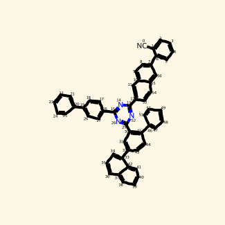 N#Cc1ccccc1-c1ccc2cc(-c3nc(-c4ccc(-c5ccccc5)cc4)nc(-c4cc(-c5cccc6ccccc56)ccc4-c4ccccc4)n3)ccc2c1